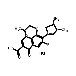 CC1COc2c(N3C[C@@H](N)[C@@H](C)C3)c(F)cc3c(=O)c(C(=O)O)cn1c23.Cl